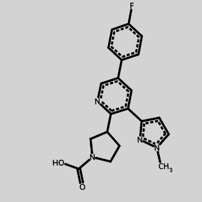 Cn1ccc(-c2cc(-c3ccc(F)cc3)cnc2C2CCN(C(=O)O)C2)n1